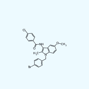 COc1ccc2c(c1)c(NC(=O)c1ccc(Cl)cc1)c(C)n2Cc1ccc(Br)cc1